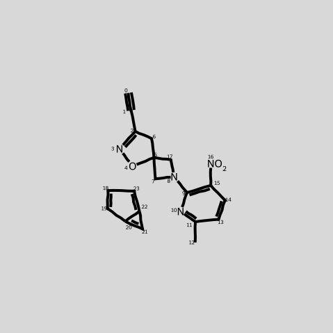 C#CC1=NOC2(C1)CN(c1nc(C)ccc1[N+](=O)[O-])C2.c1cc2cc-2c1